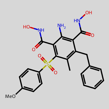 COc1ccc(S(=O)(=O)c2c(C)c(Cc3ccccc3)c(C(=O)NO)c(N)c2C(=O)NO)cc1